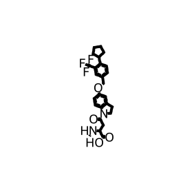 CNC(CC(=O)N1CCc2cc(OCc3ccc(C4CCCC4)c(C(F)(F)F)c3)ccc21)C(=O)O